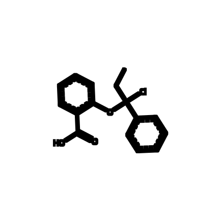 CCC(Cl)(Oc1ccccc1C(=O)O)c1ccccc1